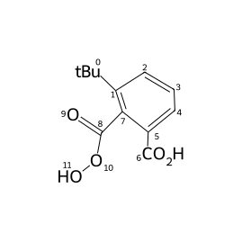 CC(C)(C)c1cccc(C(=O)O)c1C(=O)OO